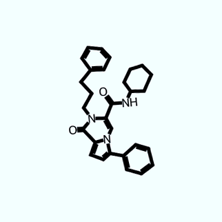 O=C(NC1CCCCC1)c1cn2c(-c3ccccc3)ccc2c(=O)n1CCCc1ccccc1